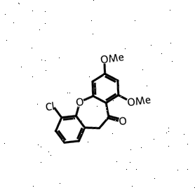 COc1cc(OC)c2c(c1)Oc1c(Cl)cccc1CC2=O